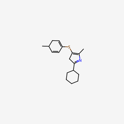 CC1=C(SC2=CCC(C)C=C2)CC(C2CCCCC2)=N1